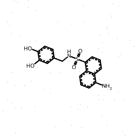 Nc1cccc2c(S(=O)(=O)NCc3ccc(O)c(O)c3)cccc12